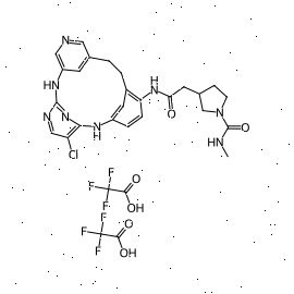 CNC(=O)N1CCC(CC(=O)Nc2ccc3cc2CCc2cncc(c2)Nc2ncc(Cl)c(n2)N3)C1.O=C(O)C(F)(F)F.O=C(O)C(F)(F)F